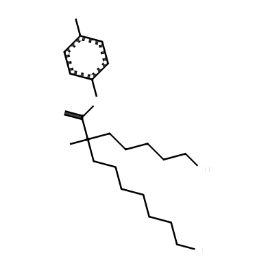 CCCCCCCCC(C)(CCCCCC)C(=O)Oc1ccc(C)cc1